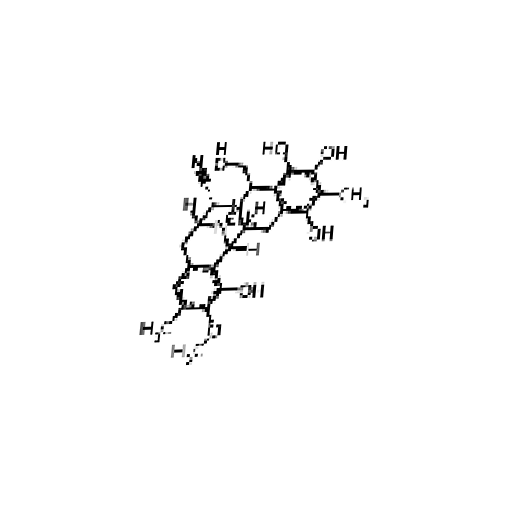 COc1c(C)cc2c(c1O)[C@H]1[C@@H]3Cc4c(O)c(C)c(O)c(O)c4[C@H](CO)N3[C@@H](C#N)[C@@H](C2)N1C